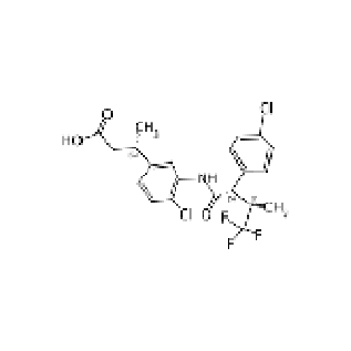 C[C@H]([C@H](C(=O)Nc1cc([C@@H](C)CC(=O)O)ccc1Cl)c1ccc(Cl)cc1)C(F)(F)F